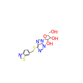 OC[C@H]1O[C@@H](n2cnc3c(SCc4ccc5ncsc5c4)ncnc32)[C@H](O)[C@@H]1O